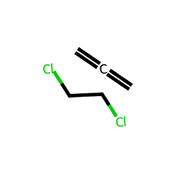 C=C=C.ClCCCl